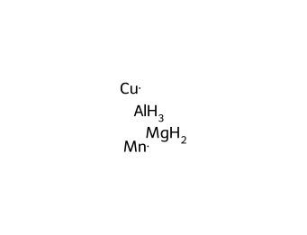 [AlH3].[Cu].[MgH2].[Mn]